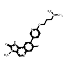 CN(C)CCCOc1ccc(-c2cc3c(cc2F)ncc2c3[nH]c(=O)n2C)cn1